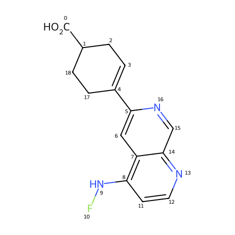 O=C(O)C1CC=C(c2cc3c(NF)ccnc3cn2)CC1